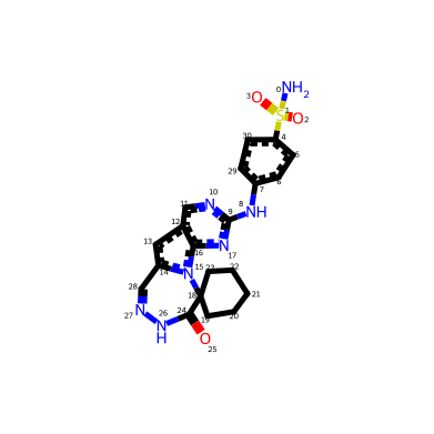 NS(=O)(=O)c1ccc(Nc2ncc3cc4n(c3n2)C2(CCCCC2)C(=O)NN=C4)cc1